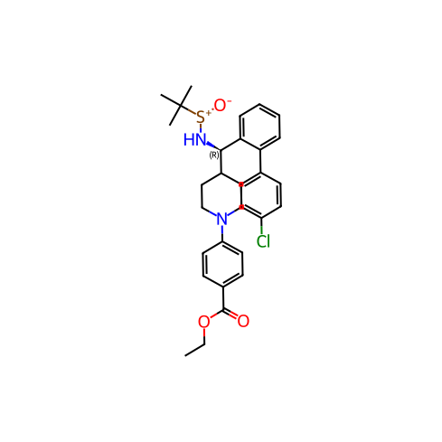 CCOC(=O)c1ccc(N2CCC([C@@H](N[S+]([O-])C(C)(C)C)c3ccccc3-c3ccc(Cl)cc3)CC2)cc1